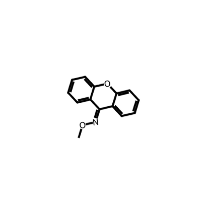 CON=c1c2ccccc2oc2ccccc12